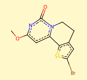 COc1cc2n(c(=O)n1)CCc1cc(Br)sc1-2